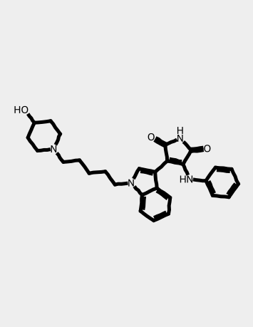 O=C1NC(=O)C(c2cn(CCCCCN3CCC(O)CC3)c3ccccc23)=C1Nc1ccccc1